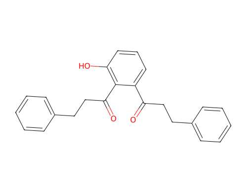 O=C(CCc1ccccc1)c1cccc(O)c1C(=O)CCc1ccccc1